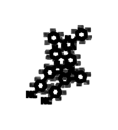 N#Cc1ccc(-c2ccc3c(c2)c2ccccc2n3-c2ccc(-c3nc(-c4ccccc4)nc(-c4ccccc4)n3)c(-c3cnccc3-n3c4ccccc4c4cc(-c5ccc(C#N)cc5)ccc43)c2)cc1